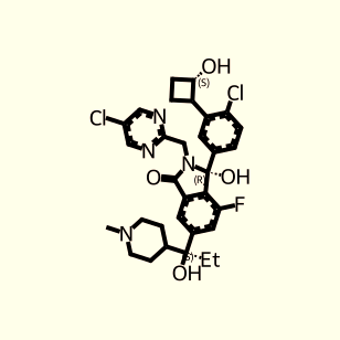 CC[C@@](O)(c1cc(F)c2c(c1)C(=O)N(Cc1ncc(Cl)cn1)[C@@]2(O)c1ccc(Cl)c(C2CC[C@@H]2O)c1)C1CCN(C)CC1